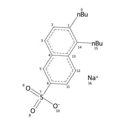 CCCCc1ccc2cc(S(=O)(=O)[O-])ccc2c1CCCC.[Na+]